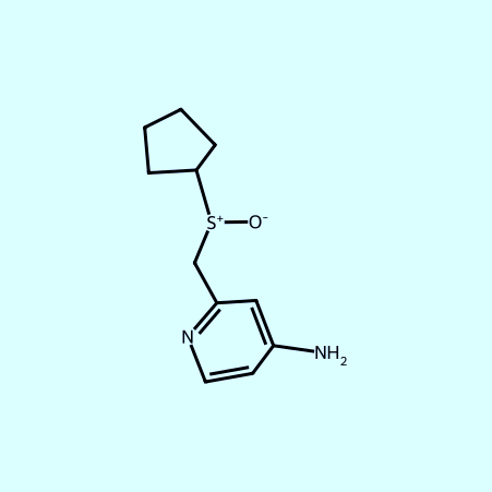 Nc1ccnc(C[S+]([O-])C2CCCC2)c1